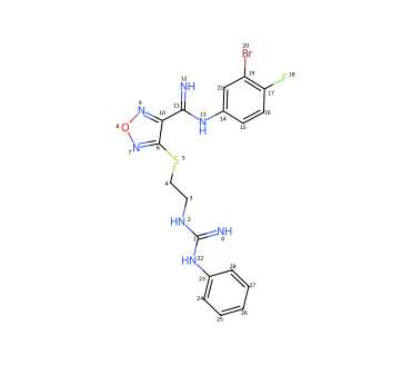 N=C(NCCSc1nonc1C(=N)Nc1ccc(F)c(Br)c1)Nc1ccccc1